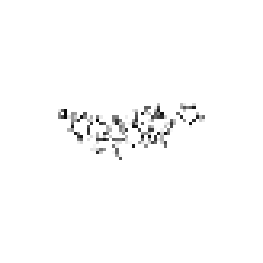 C=C1CCC2[C@]3(C)CO[C@@H](C4CCCC4)O[C@@H]3CC[C@@]2(C)[C@@H]1CCOc1cc(Cl)ccc1C(=O)O